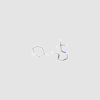 FC(F)(F)c1ncccc1OC[C@H]1CCCNC1